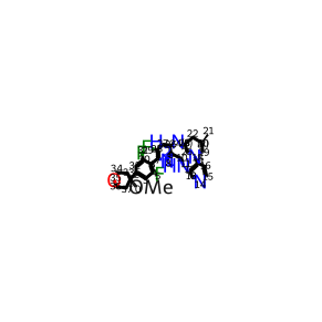 COC1(c2cc(F)c(-c3nc(CNc4cnccc4N4C[C@H](C)C[C@H](N)C4)ccc3F)c(F)c2)CCOCC1